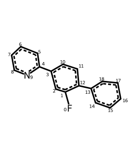 Fc1cc(-c2ccccn2)ccc1-c1ccccc1